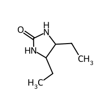 CCC1NC(=O)NC1CC